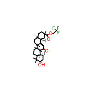 CC1(C)C2CC[C@]3(C)[C@H](C(=O)C=C4[C@H]5C[C@@](C)(C(=O)OCC(F)(F)F)CC[C@]5(C)CC[C@]43C)[C@@]2(C)CC[C@@H]1O